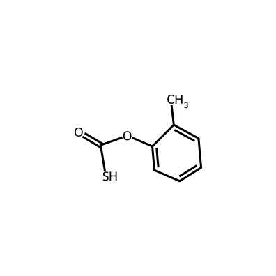 Cc1ccccc1OC(=O)S